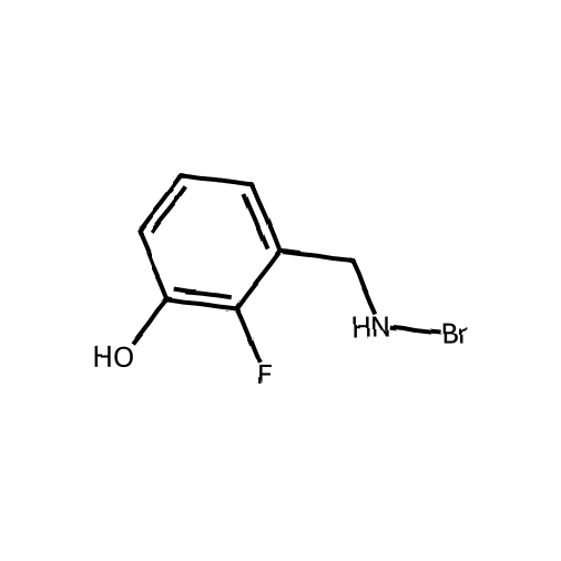 Oc1cccc(CNBr)c1F